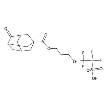 O=C1C2CC3CC1CC(C(=O)OCCCOC(F)(F)C(F)(F)S(=O)(=O)O)(C3)C2